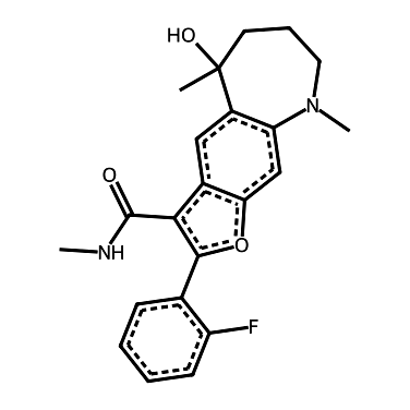 CNC(=O)c1c(-c2ccccc2F)oc2cc3c(cc12)C(C)(O)CCCN3C